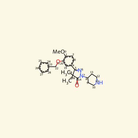 COc1ccc(C2=NN(C3CCNCC3)C(=O)C2(C)C)cc1OCc1ccccc1